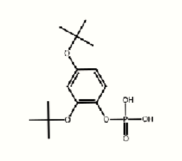 CC(C)(C)Oc1ccc(OP(=O)(O)O)c(OC(C)(C)C)c1